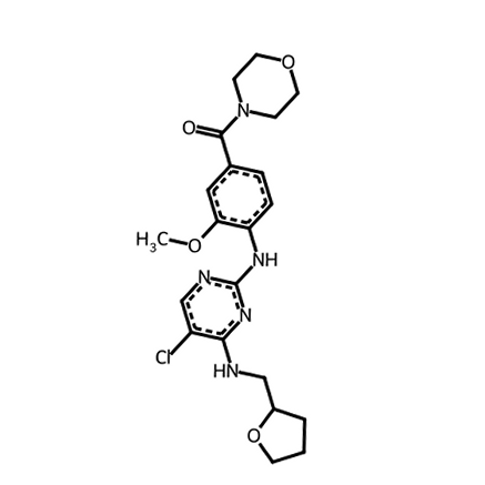 COc1cc(C(=O)N2CCOCC2)ccc1Nc1ncc(Cl)c(NCC2CCCO2)n1